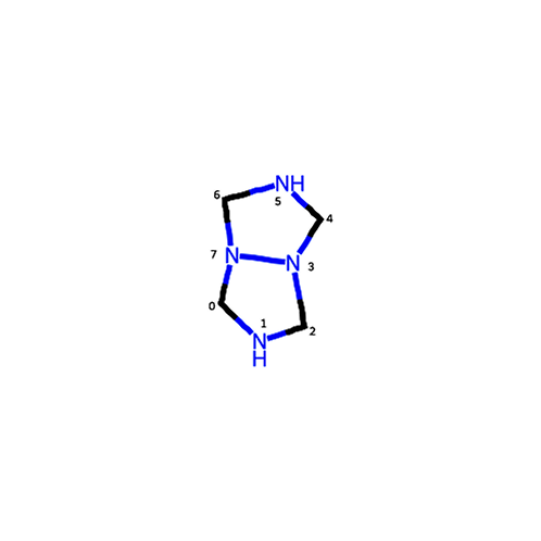 C1NCN2CNCN12